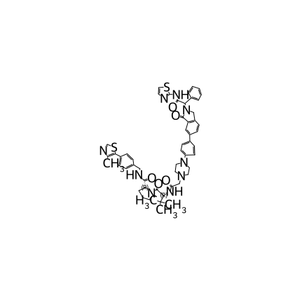 Cc1ncsc1-c1ccc(CNC(=O)[C@H]2CCCN2C(=O)[C@H](NC(=O)CN2CCN(c3ccc(-c4ccc5c(c4)C(=O)N(C(C(=O)Nc4nccs4)c4ccccc4)C5)cc3)CC2)C(C)(C)C)cc1